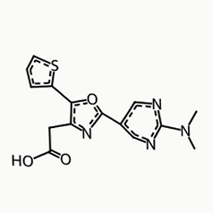 CN(C)c1ncc(-c2nc(CC(=O)O)c(-c3cccs3)o2)cn1